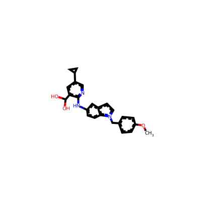 COc1ccc(Cn2ccc3cc(Nc4ncc(C5CC5)cc4C(O)O)ccc32)cc1